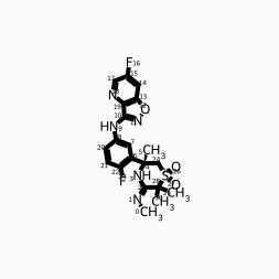 C/N=C1/N[C@](C)(c2cc(Nc3noc4cc(F)cnc34)ccc2F)CS(=O)(=O)C1(C)C